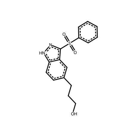 O=S(=O)(c1ccccc1)c1n[nH]c2ccc(CCCO)cc12